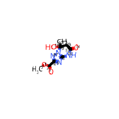 COC(=O)c1nc2n(n1)C(C)(O)CC(=O)N2